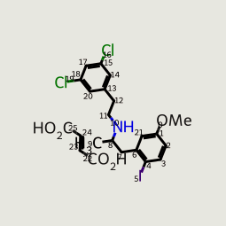 COc1ccc(I)c(CC(C)NCCc2cc(Cl)cc(Cl)c2)c1.O=C(O)/C=C/C(=O)O